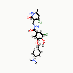 Cc1cc(Cl)c(CNC(=O)c2cc(Cl)c3c(c2C)O[C@@H]([C@H]2CC[C@@H](N(C)C)CC2)CO3)c(=O)[nH]1